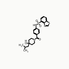 CC(C)CC1(O)CCN(C(=O)c2ccc(NS(=O)(=O)c3cccc4scnc34)cc2)CC1